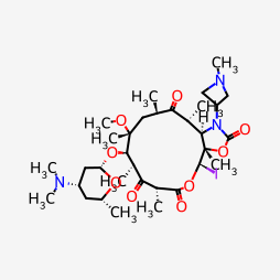 CO[C@]1(C)C[C@@H](C)C(=O)[C@H](C)[C@H]2N(C3CN(C)C3)C(=O)O[C@]2(C)[C@@H](I)OC(=O)[C@H](C)C(=O)[C@H](C)[C@H]1O[C@H]1C[C@@H](N(C)C)C[C@@H](C)O1